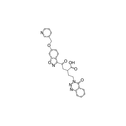 O=C(CC(CCn1nnc2ccccc2c1=O)C(=O)O)c1noc2cc(OCc3cccnc3)ccc12